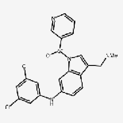 CNCc1cn([S+]([O-])c2cccnc2)c2cc(Nc3cc(Cl)cc(Cl)c3)ccc12